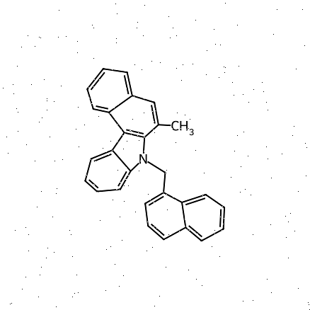 Cc1cc2ccccc2c2c3ccccc3n(Cc3cccc4ccccc34)c12